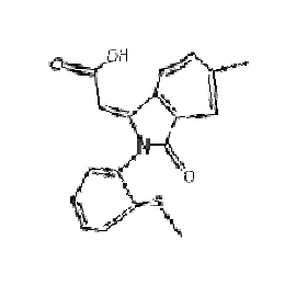 CSc1ccccc1N1C(=O)c2cc(C)ccc2C1=CC(=O)O